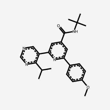 COc1ccc(-c2cc(C(=O)NC(C)(C)C)cc(-c3cncnc3C(C)C)n2)cc1